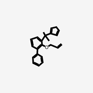 C=CCOc1c(-c2ccccc2)cccc1C(C)(C)C1=CCC=C1